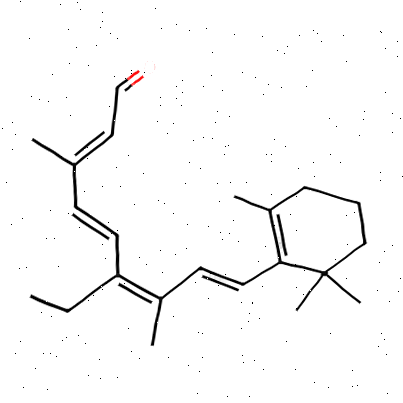 CC/C(C=CC(C)=CC=O)=C(\C)C=CC1=C(C)CCCC1(C)C